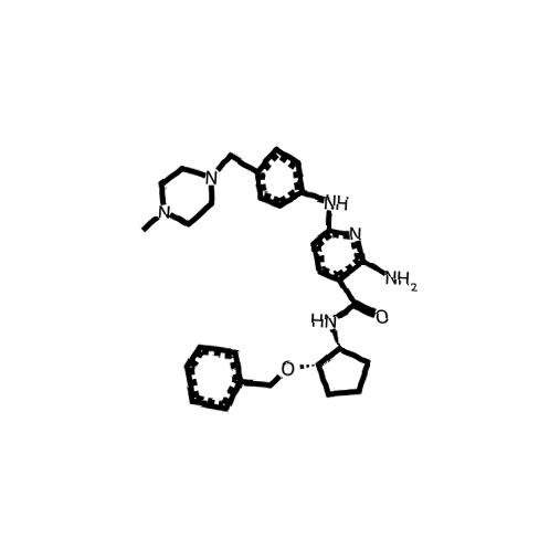 CN1CCN(Cc2ccc(Nc3ccc(C(=O)N[C@H]4CCC[C@@H]4OCc4ccccc4)c(N)n3)cc2)CC1